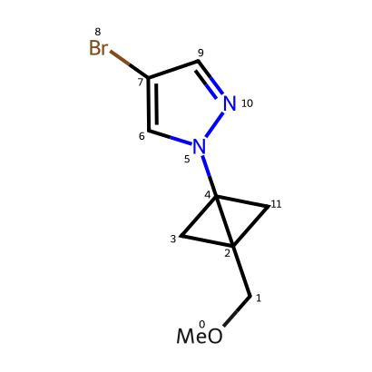 COCC12CC1(n1cc(Br)cn1)C2